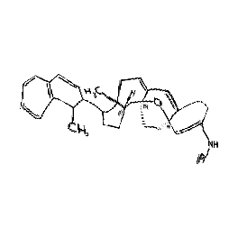 CC(C)NC1=C[C@@]23CC[C@@]4(O2)C(=CCC2(C)C(C5C=Cc6ccncc6C5C)CC[C@H]24)C=C3CC1